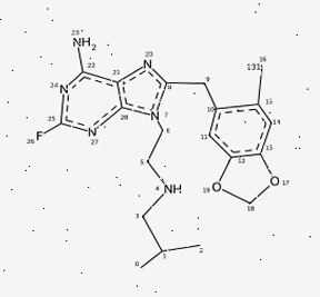 CC(C)CNCCn1c(Cc2cc3c(cc2[131I])OCO3)nc2c(N)nc(F)nc21